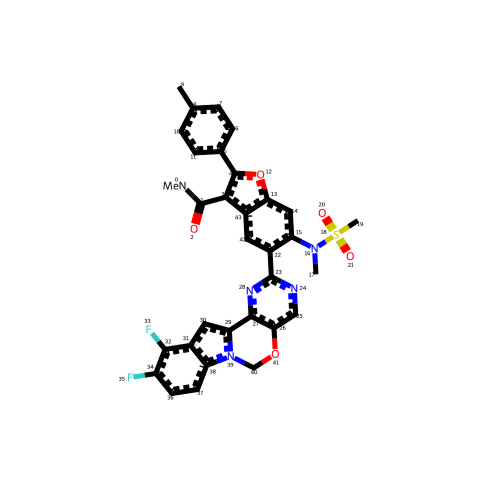 CNC(=O)c1c(-c2ccc(C)cc2)oc2cc(N(C)S(C)(=O)=O)c(-c3ncc4c(n3)-c3cc5c(F)c(F)ccc5n3CO4)cc12